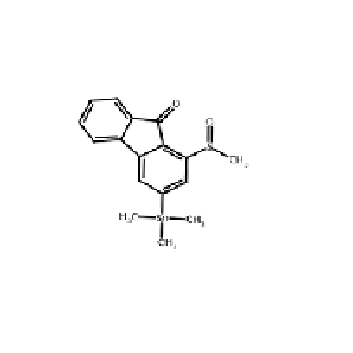 CS(=O)c1c[c]([Sn]([CH3])([CH3])[CH3])cc2c1C(=O)c1ccccc1-2